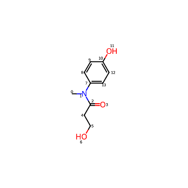 CN(C(=O)CCO)c1ccc(O)cc1